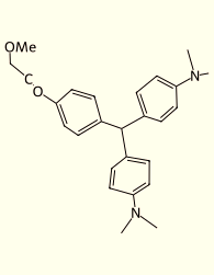 COCCOc1ccc(C(c2ccc(N(C)C)cc2)c2ccc(N(C)C)cc2)cc1